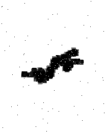 COC(=O)N[C@H](C(=O)N1[C@H]2CC[C@H](C2)[C@H]1c1nc2ccc3cc(-c4ccc5c(ccc6nc([C@@H]7C[C@H](COCC8CCCC8)CN7C(=O)[C@H](NC(=O)OC)c7ccccc7)[nH]c65)c4)ccc3c2[nH]1)C(C)C